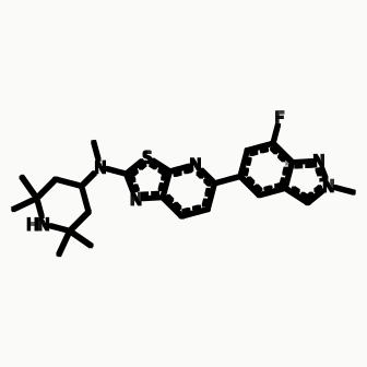 CN(c1nc2ccc(-c3cc(F)c4nn(C)cc4c3)nc2s1)C1CC(C)(C)NC(C)(C)C1